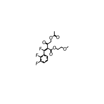 COCCOC(=O)C(C(=O)COC(C)=O)=C(F)c1cccc(F)c1F